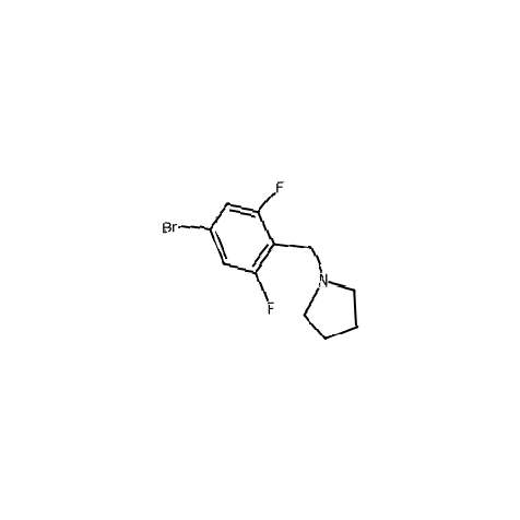 Fc1cc(Br)cc(F)c1CN1CCCC1